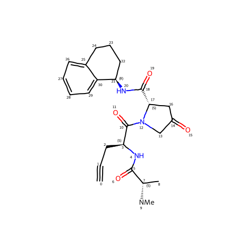 C#CC[C@H](NC(=O)[C@H](C)NC)C(=O)N1CC(=O)C[C@H]1C(=O)N[C@@H]1CCCc2ccccc21